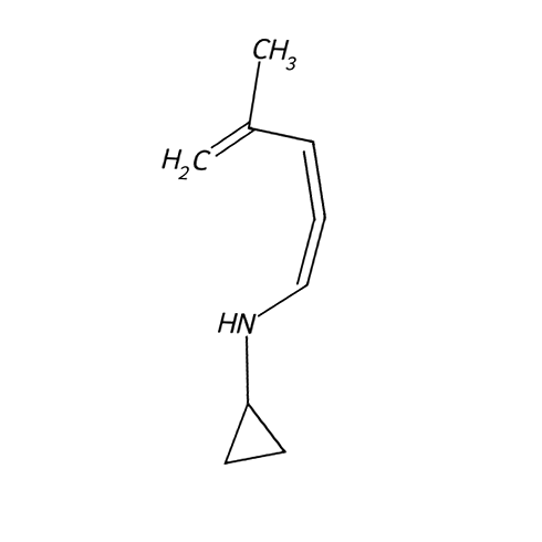 C=C(C)C=C=CNC1CC1